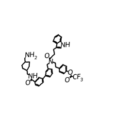 NCC1CCC(CNC(=O)c2cccc(-c3cccc(CN(CCc4ccc(OC(=O)C(F)(F)F)cc4)C(=O)CCc4c[nH]c5ccccc45)c3)c2)CC1